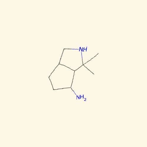 CC1(C)NCC2CCC(N)C21